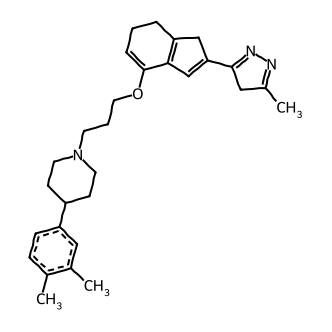 CC1=NN=C(C2=CC3=C(CCC=C3OCCCN3CCC(c4ccc(C)c(C)c4)CC3)C2)C1